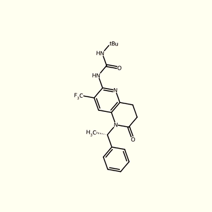 C[C@@H](c1ccccc1)N1C(=O)CCc2nc(NC(=O)NC(C)(C)C)c(C(F)(F)F)cc21